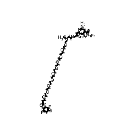 CCCN(CCC)C(=O)C1=Cc2sc(COCCN(C)CCOCCOCCOCCOCCOCCOCCOCCOCCOCCOCCC(=O)Oc3c(F)c(F)cc(F)c3F)cc2N=C(N)C1